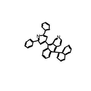 c1ccc(-c2cc(-c3c4ccccc4c(-c4cccc5ccccc45)c4ccncc34)cc(-c3ccccc3)n2)cc1